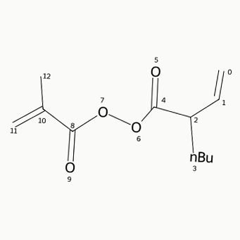 C=CC(CCCC)C(=O)OOC(=O)C(=C)C